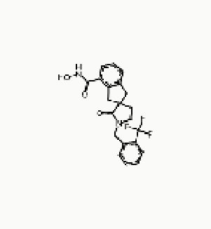 O=C(NO)c1cccc2c1CC1(CCN(Cc3ccccc3C(F)(F)F)C1=O)C2